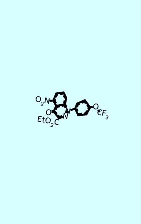 CCOC(=O)c1nn(-c2ccc(OC(F)(F)F)cc2)c2cccc([N+](=O)[O-])c2c1=O